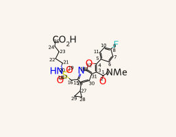 CNC(=O)c1c(-c2ccc(F)cc2)oc2nc(CS(=O)(=O)NCCCCC(=O)O)c(C3CC3)cc12